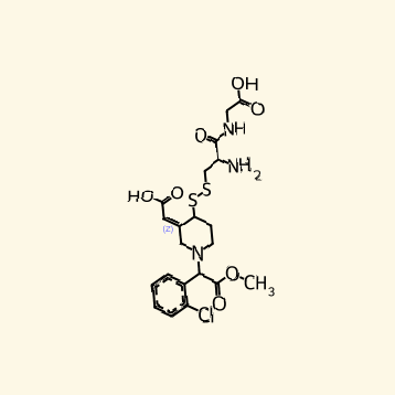 COC(=O)C(c1ccccc1Cl)N1CCC(SSCC(N)C(=O)NCC(=O)O)/C(=C\C(=O)O)C1